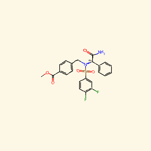 COC(=O)c1ccc(CN([C@@H](C(N)=O)c2ccccc2)S(=O)(=O)c2ccc(F)c(F)c2)cc1